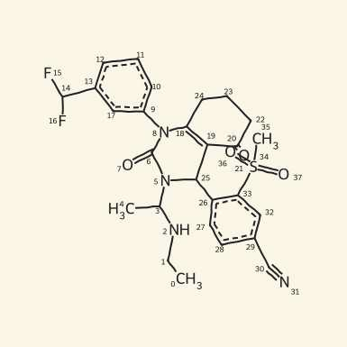 CCNC(C)N1C(=O)N(c2cccc(C(F)F)c2)C2=C(C(=O)CCC2)C1c1ccc(C#N)cc1S(C)(=O)=O